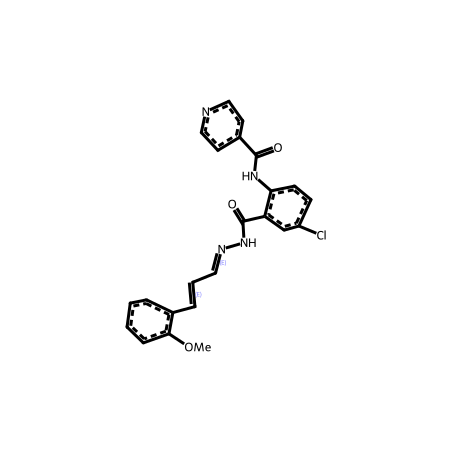 COc1ccccc1/C=C/C=N/NC(=O)c1cc(Cl)ccc1NC(=O)c1ccncc1